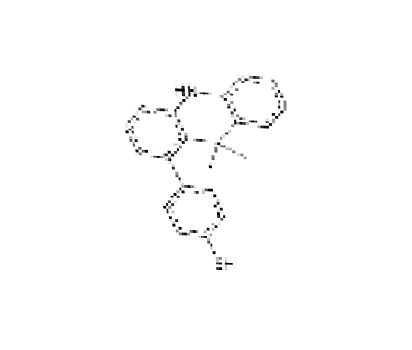 CC1(C)c2ccccc2Nc2cccc(-c3ccc(S)cc3)c21